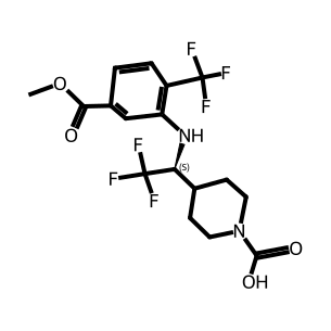 COC(=O)c1ccc(C(F)(F)F)c(N[C@@H](C2CCN(C(=O)O)CC2)C(F)(F)F)c1